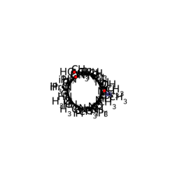 C=C1C(=O)N(C)[C@@H](CC(C)(C)O)C(=O)N[C@H](C(C)C)C(=O)N(C)[C@H](CCC(C)C)C(=O)N[C@H](C)C(=O)N[C@@H](C)C(=O)N(C)[C@@H](CC(C)C)C(=O)N(C)[C@H](CCC(C)C)C(=O)N(C)[C@H](C(C)C)C(=O)N(C)C([C@H](O)[C@H](C)C/C=C/C)C(=O)N[C@H](CC)C(=O)N1C